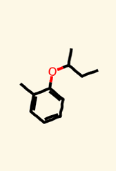 CCC(C)Oc1ccccc1C